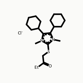 CCC(=O)CSc1n(C)c(C2CCCCC2)c(C2CCCCC2)[n+]1C.[Cl-]